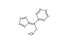 NCC(=C1C=CC=C1)c1ccccc1